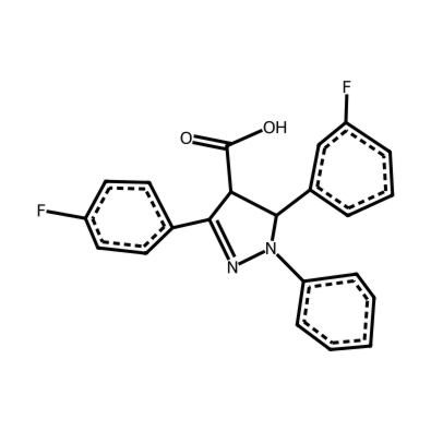 O=C(O)C1C(c2ccc(F)cc2)=NN(c2ccccc2)C1c1cccc(F)c1